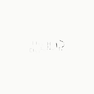 CCOC(CNCc1ccccn1)OCC